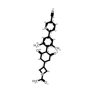 CC(=O)N1CC(C2CC(=O)C(c3c(C)cc(-c4ccc(C#N)cn4)cc3C)C(=O)C2)C1